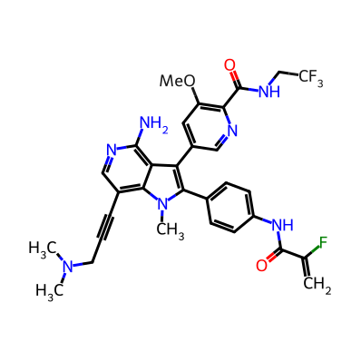 C=C(F)C(=O)Nc1ccc(-c2c(-c3cnc(C(=O)NCC(F)(F)F)c(OC)c3)c3c(N)ncc(C#CCN(C)C)c3n2C)cc1